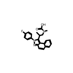 CC(CN(C)C(=O)O)c1c2c(ccc3ccccc32)nn1-c1ccc(F)cc1